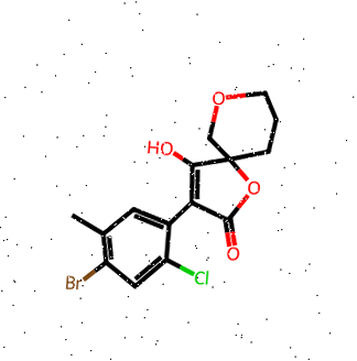 Cc1cc(C2=C(O)C3(CCCOC3)OC2=O)c(Cl)cc1Br